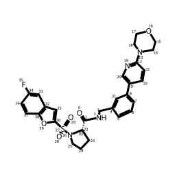 O=C(NCc1cccc(-c2ccc(N3CCOCC3)nc2)c1)[C@@H]1CCCN1S(=O)(=O)c1cc2cc(F)ccc2o1